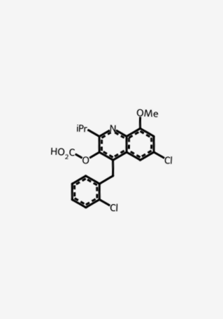 COc1cc(Cl)cc2c(Cc3ccccc3Cl)c(OC(=O)O)c(C(C)C)nc12